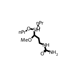 CCCO[SiH](OCCC)C(CCNC(N)=O)OC